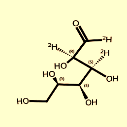 [2H]C(=O)[C@]([2H])(O)[C@@]([2H])(O)[C@@H](O)[C@H](O)CO